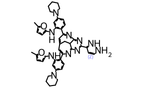 Cc1ccc(Nc2cc(N3CCCCC3)ccc2C2=CC3=CC(c4ccc(N5CCCCC5)cc4Nc4ccc(C)o4)=NC4=NC(C(=N)/C=C\N)=NC(=N2)C4C3)o1